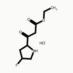 CCOC(=O)CC(=O)C1CC(F)CN1.Cl